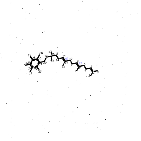 CC(C)=CCC/C(C)=C/CC/C(C)=C/CCC(C)(C)CCc1c(C)c(C)c(C)c(C)c1I